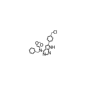 ClCc1ccc(-c2cc3c(N(Cc4ccccc4)C4=COCO4)ncnc3[nH]2)cc1